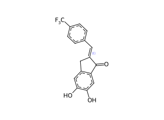 O=C1/C(=C/c2ccc(C(F)(F)F)cc2)Cc2cc(O)c(O)cc21